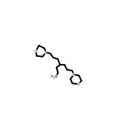 NCCC(CCCN1CCOCC1)CCCN1CCOCC1